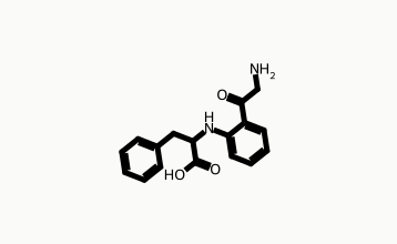 NCC(=O)c1ccccc1NC(Cc1ccccc1)C(=O)O